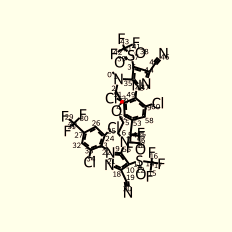 CN(CCOCCN(C)c1c(S(=O)(=O)C(F)(F)F)c(C#N)nn1-c1c(Cl)cc(C(F)(F)F)cc1Cl)c1c(S(=O)(=O)C(F)(F)F)c(C#N)nn1-c1c(Cl)cc(C(F)(F)F)cc1Cl